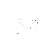 CC(C)c1cnc(-c2cc(OC[C@@H]3CCCO3)cc(C(=O)N[C@H](C)c3cnc(C(F)(F)F)nc3)c2)s1